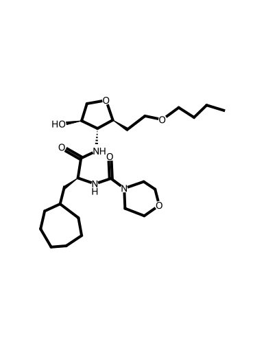 CCCCOCC[C@@H]1OC[C@H](O)[C@H]1NC(=O)[C@H](CC1CCCCCC1)NC(=O)N1CCOCC1